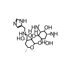 CN[C@@H]1[C@H](O)[C@H](NC)[C@H]2O[C@]3(O)C(O[C@@H]2[C@H]1O)O[C@H](C)C[C@@]3(O)CNCc1cnc[nH]1